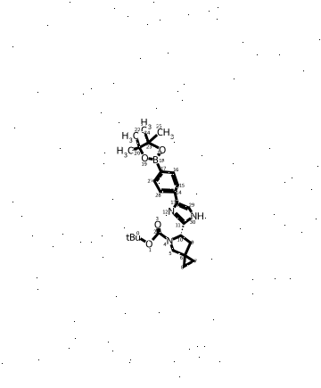 CC(C)(C)OC(=O)N1CC2(CC2)C[C@H]1c1nc(-c2ccc(B3OC(C)(C)C(C)(C)O3)cc2)c[nH]1